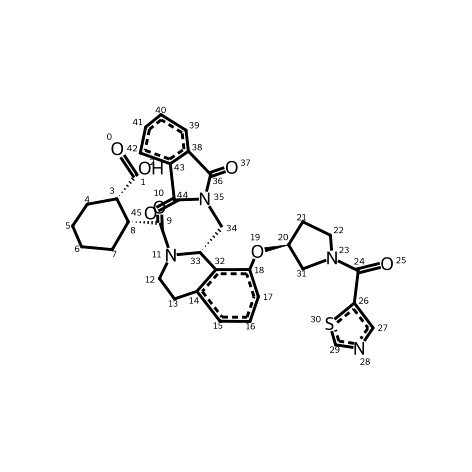 O=C(O)[C@H]1CCCC[C@H]1C(=O)N1CCc2cccc(O[C@H]3CCN(C(=O)c4cncs4)C3)c2[C@H]1CN1C(=O)c2ccccc2C1=O